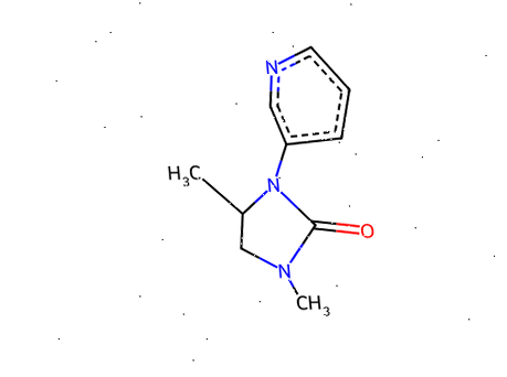 CC1CN(C)C(=O)N1c1cccnc1